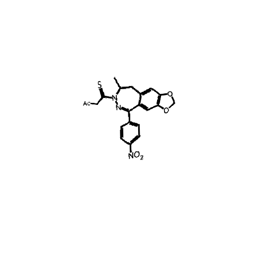 CC(=O)CC(=S)N1N=C(c2ccc([N+](=O)[O-])cc2)c2cc3c(cc2CC1C)OCO3